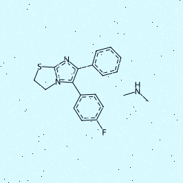 CNC.Fc1ccc(-c2c(-c3ccccc3)nc3n2CCS3)cc1